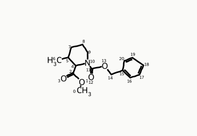 COC(=O)C1C(C)CCCN1C(=O)OCc1ccccc1